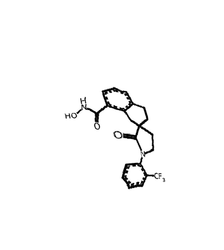 O=C(NO)c1cccc2c1CC1(CC2)CCN(c2ccccc2C(F)(F)F)C1=O